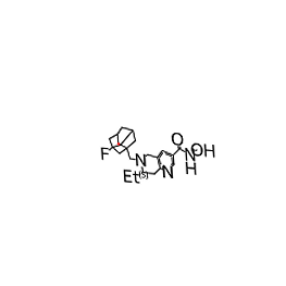 CC[C@H]1Cc2ncc(C(=O)NO)cc2CN1CC12CC3CC(CC(F)(C3)C1)C2